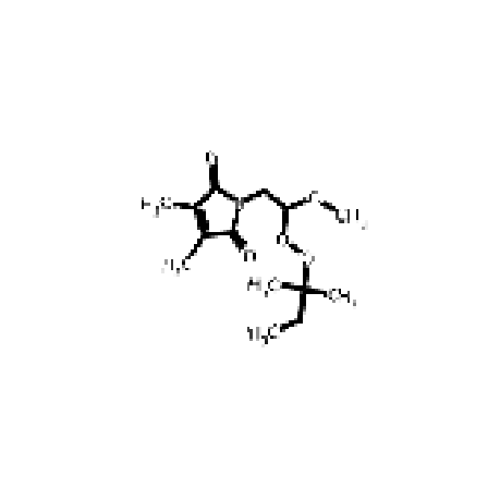 CCC(C)(C)OOC(CN1C(=O)C(C)=C(C)C1=O)OC